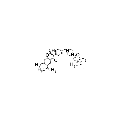 Cc1cc2oc(C)c(-c3ccc(CN4CCN(C(=O)OC(C)(C)C)CC4)cc3)c(=O)c2cc1C(C)C